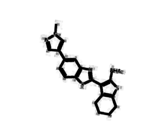 CC(=O)Nc1sc2c(c1-c1nc3cc(-c4cnn(C)c4)ccc3s1)CCCC2